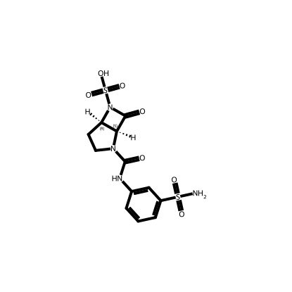 NS(=O)(=O)c1cccc(NC(=O)N2CC[C@@H]3[C@H]2C(=O)N3S(=O)(=O)O)c1